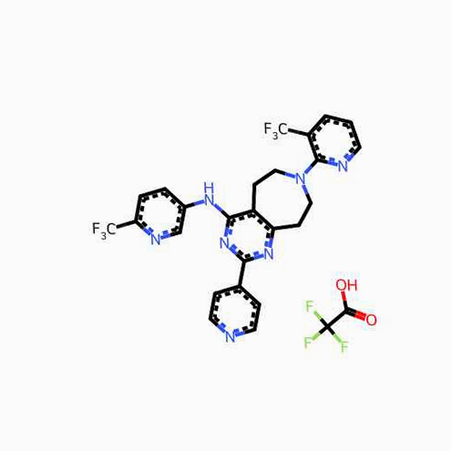 FC(F)(F)c1ccc(Nc2nc(-c3ccncc3)nc3c2CCN(c2ncccc2C(F)(F)F)CC3)cn1.O=C(O)C(F)(F)F